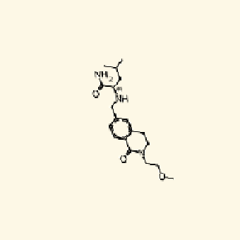 COCCN1CCc2cc(CN[C@H](CC(C)C)C(N)=O)ccc2C1=O